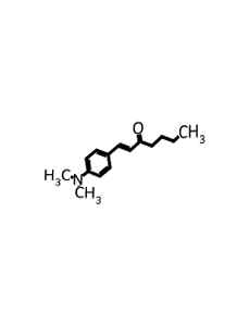 CCCCC(=O)/C=C/c1ccc(N(C)C)cc1